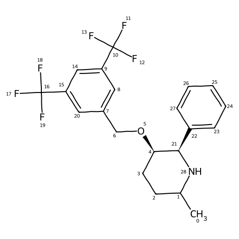 CC1CC[C@@H](OCc2cc(C(F)(F)F)cc(C(F)(F)F)c2)[C@@H](c2ccccc2)N1